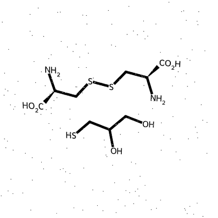 N[C@@H](CSSC[C@H](N)C(=O)O)C(=O)O.OCC(O)CS